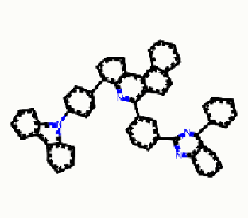 c1ccc(-c2nc(-c3cccc(-c4nc5c(-c6ccc(-n7c8ccccc8c8ccccc87)cc6)cccc5c5c4ccc4ccccc45)c3)nc3ccccc23)cc1